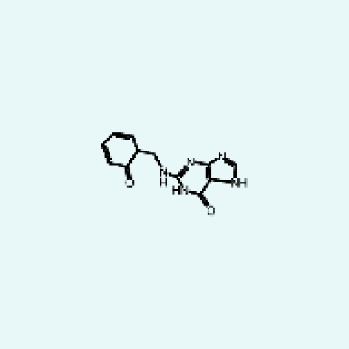 O=C1C=CC=CC1CNc1nc2nc[nH]c2c(=O)[nH]1